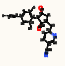 CC#Cc1cc(C)c(C2C(=O)CC(Cc3ccc(C#N)cn3)C2=O)c(C)c1